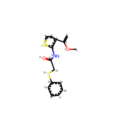 C=C(OC)c1ccsc1NC(=O)CSc1ccccc1